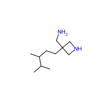 CC(C)C(C)CCC1(CN)CNC1